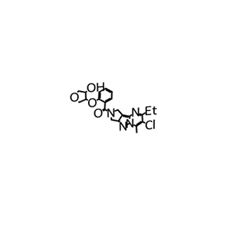 CCc1nc2c3c(nn2c(C)c1Cl)CN(C(=O)c1ccccc1OC1COCC1O)C3